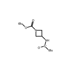 CC(C)(C)OC(=O)N1CC(N[S+]([O-])C(C)(C)C)C1